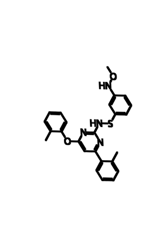 CONc1cccc(SNc2nc(Oc3ccccc3C)cc(-c3ccccc3C)n2)c1